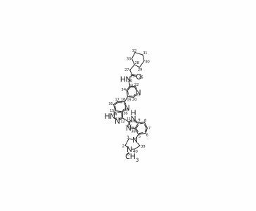 CN1CCN(c2cccc3[nH]c(-c4n[nH]c5ccc(-c6cncc(NC(=O)CC7CCCCC7)c6)nc45)nc23)CC1